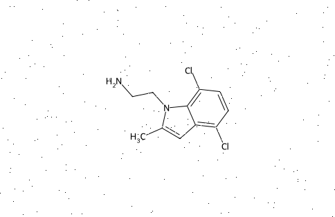 Cc1cc2c(Cl)ccc(Cl)c2n1CCN